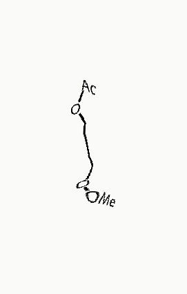 COOCCCOC(C)=O